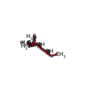 CCCCCCCC/C=C\CCCCCCC(CCCCCCCCCCCCCC(CCCCC(C/C=C\CCCCCCCC)OC(=O)OCCN(CC)CCN(CC)CC)C(=O)O)C(=O)O